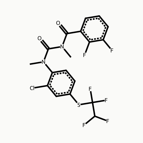 CN(C(=O)c1cccc(F)c1F)C(=O)N(C)c1ccc(SC(F)(F)C(F)F)cc1Cl